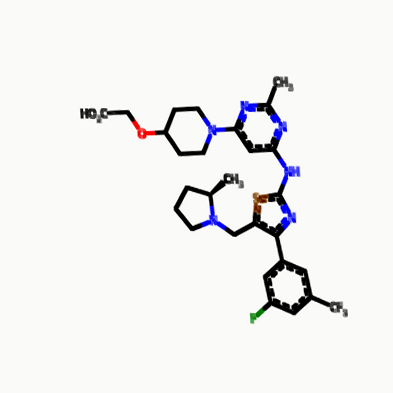 Cc1nc(Nc2nc(-c3cc(F)cc(C(F)(F)F)c3)c(CN3CCC[C@H]3C)s2)cc(N2CCC(OCC(=O)O)CC2)n1